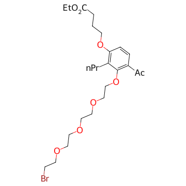 CCCc1c(OCCCC(=O)OCC)ccc(C(C)=O)c1OCCOCCOCCOCCBr